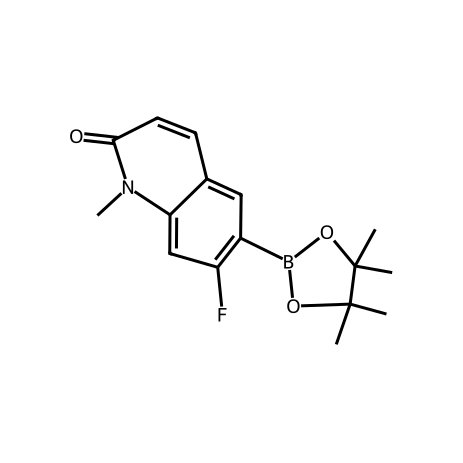 Cn1c(=O)ccc2cc(B3OC(C)(C)C(C)(C)O3)c(F)cc21